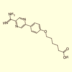 N=C(N)c1cnc(-c2ccc(OCCCCCC(=O)O)cc2)cn1